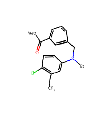 CCN(Cc1cccc(C(=O)OC)c1)c1ccc(Cl)c(C)c1